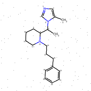 Cc1cncn1C(C)C1CCCCN1CCCc1ccccc1